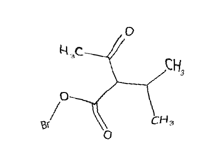 CC(=O)C(C(=O)OBr)C(C)C